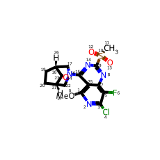 COc1nc(Cl)c(F)c2nc(S(C)(=O)=O)nc(N3C[C@H]4CC[C@@H](C3)C4=O)c12